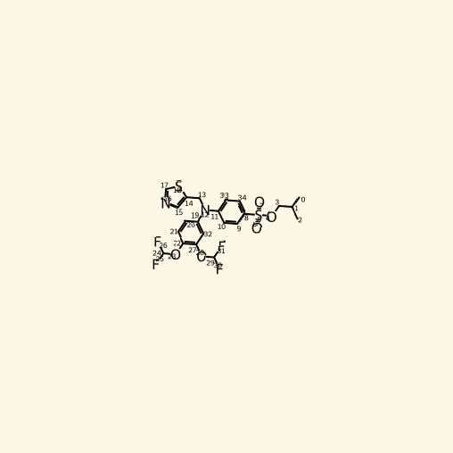 CC(C)COS(=O)(=O)c1ccc(N(Cc2cncs2)c2ccc(OC(F)F)c(OC(F)F)c2)cc1